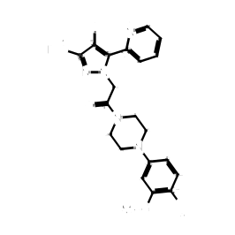 COc1cc(N2CCN(C(=O)Cn3nc(C(F)(F)F)c(Cl)c3-c3ccccn3)CC2)ccc1Cl